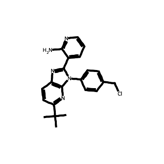 CC(C)(C)c1ccc2nc(-c3cccnc3N)n(-c3ccc(CCl)cc3)c2n1